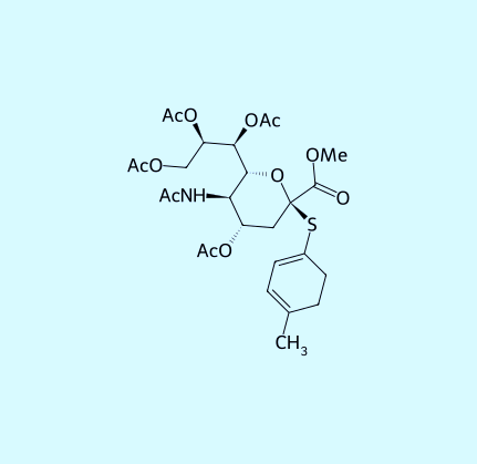 COC(=O)[C@]1(SC2=CC=C(C)CC2)C[C@H](OC(C)=O)[C@@H](NC(C)=O)[C@H]([C@H](OC(C)=O)[C@@H](COC(C)=O)OC(C)=O)O1